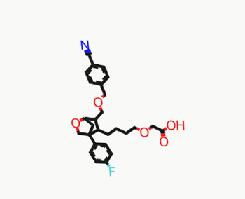 N#Cc1ccc(COCC2C3CC(c4ccc(F)cc4)(CO3)C2CCCCOCC(=O)O)cc1